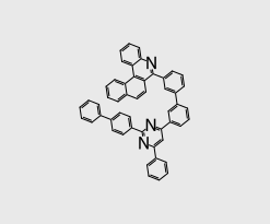 c1ccc(-c2ccc(-c3nc(-c4ccccc4)cc(-c4cccc(-c5cccc(-c6nc7ccccc7c7c6ccc6ccccc67)c5)c4)n3)cc2)cc1